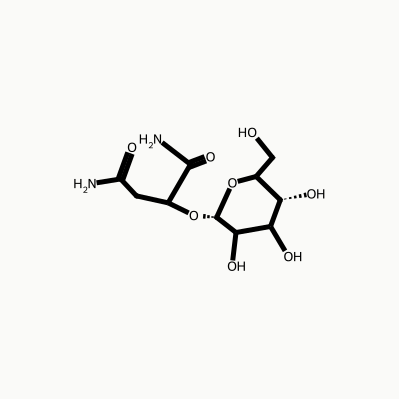 NC(=O)CC(O[C@@H]1OC(CO)[C@H](O)C(O)C1O)C(N)=O